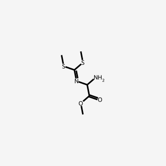 COC(=O)C(N)N=C(SC)SC